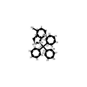 Ic1ccnc2c1cnn2C(c1ccccc1)(c1ccccc1)c1ccccc1